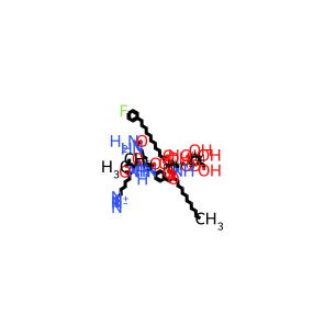 CCCCCCCCCCCCCC[C@@H](OC(=O)CCCCCCCCCCc1ccc(F)cc1)[C@@H](O)[C@H](CO[C@H]1OC(CO)[C@H](O)[C@H](O)C1O)NC(=O)OCc1ccc(NC(=O)[C@H](CCCNC(N)=O)NC(=O)C(NC(=O)CCCCCN=[N+]=[N-])C(C)C)cc1